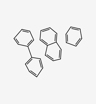 c1ccc(-c2ccccc2)cc1.c1ccc2ccccc2c1.c1ccccc1